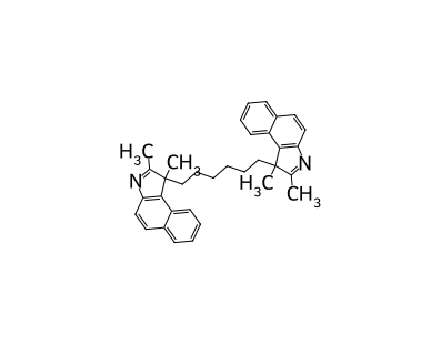 CC1=Nc2ccc3ccccc3c2C1(C)CCCCCCC1(C)C(C)=Nc2ccc3ccccc3c21